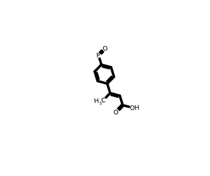 CC(=CC(=O)O)c1ccc(P=O)cc1